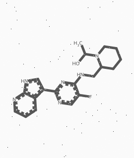 CC(O)N1CCCCC1CNc1nc(-c2c[nH]c3ncccc23)ncc1F